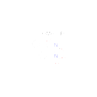 COC(=O)C(CC(C)C)N1C(=O)C(N2C(=O)OC[C@@H]2c2ccccc2)C1C=Cc1ccccc1